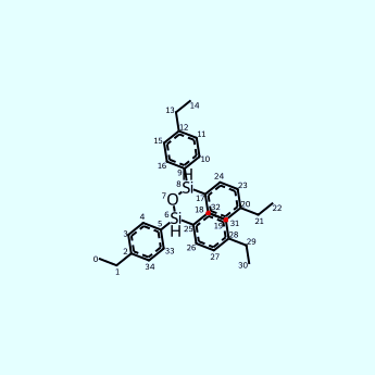 CCc1ccc([SiH](O[SiH](c2ccc(CC)cc2)c2ccc(CC)cc2)c2ccc(CC)cc2)cc1